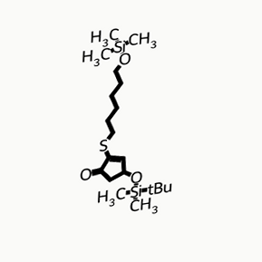 CC(C)(C)[Si](C)(C)OC1C=C(SCCCCCCO[Si](C)(C)C)C(=O)C1